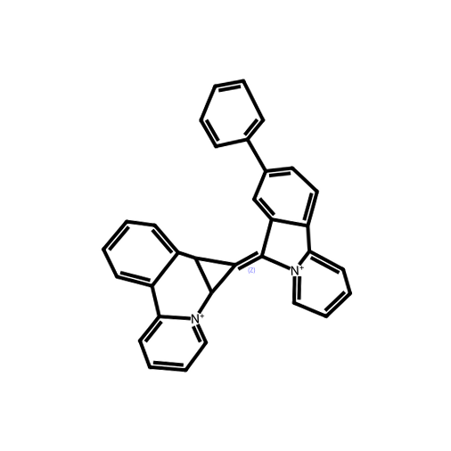 c1ccc(-c2ccc3c(c2)/C(=C2\C4c5ccccc5-c5cccc[n+]5C24)[n+]2ccccc2-3)cc1